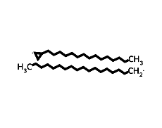 CCCCCCCCCCCCCCCC1[CH]C1.[CH2]CCCCCCCCCCCCCCCCC